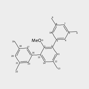 COc1c(-c2cc(C)cc(C)c2)cc(C)cc1-c1cc(C)cc(C)c1